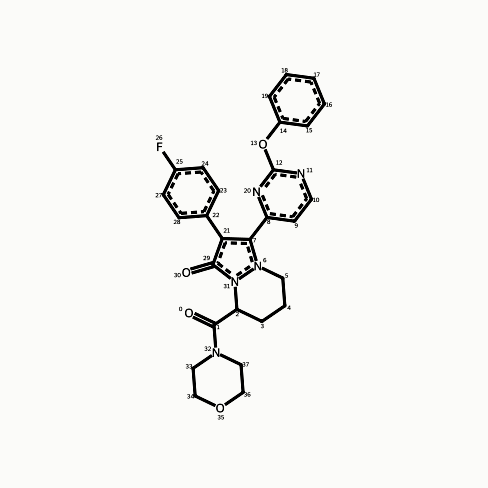 O=C(C1CCCn2c(-c3ccnc(Oc4ccccc4)n3)c(-c3ccc(F)cc3)c(=O)n21)N1CCOCC1